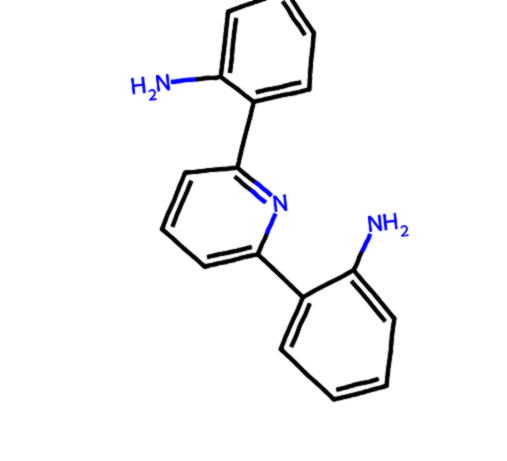 Nc1ccccc1-c1cccc(-c2ccccc2N)n1